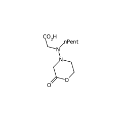 CCCCCN(CC(=O)O)N1CCOC(=O)C1